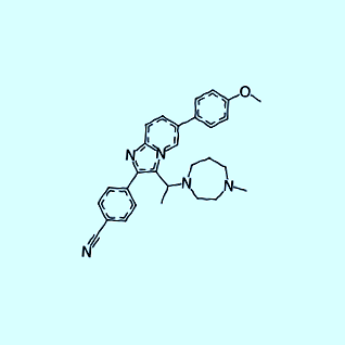 COc1ccc(-c2ccc3nc(-c4ccc(C#N)cc4)c(C(C)N4CCCN(C)CC4)n3c2)cc1